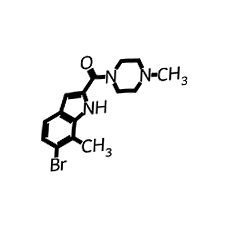 Cc1c(Br)ccc2cc(C(=O)N3CCN(C)CC3)[nH]c12